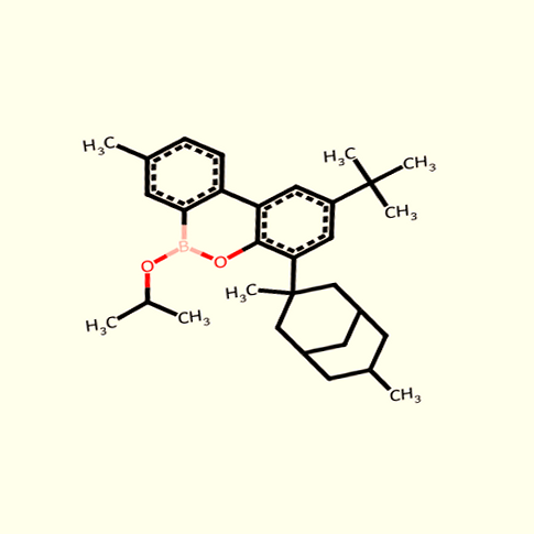 Cc1ccc2c(c1)B(OC(C)C)Oc1c-2cc(C(C)(C)C)cc1C1(C)CC2CC(C)CC(C2)C1